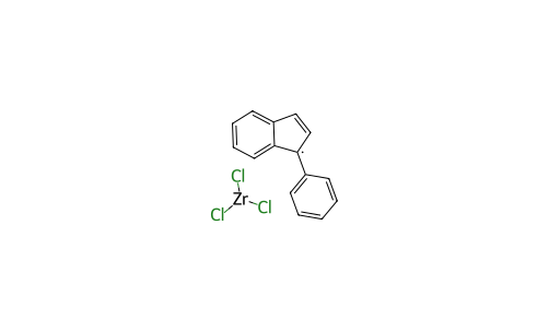 C1=Cc2ccccc2[C]1c1ccccc1.[Cl][Zr]([Cl])[Cl]